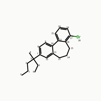 CCCC(C)(CC)c1ccc2c(c1)CCCc1c(Br)cccc1-2